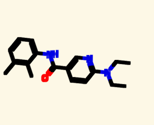 CCN(CC)c1ccc(C(=O)Nc2cccc(C)c2C)cn1